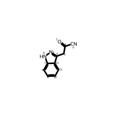 N#CC(=O)Cc1n[nH]c2ccccc12